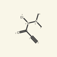 C#CC(=O)N(CC)N(C)C